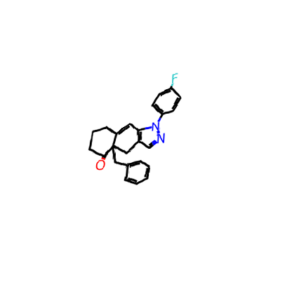 O=C1CCCC2=Cc3c(cnn3-c3ccc(F)cc3)CC12Cc1ccccc1